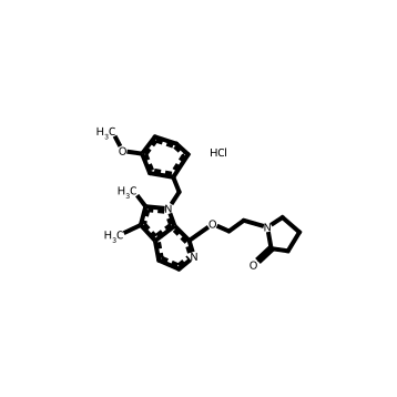 COc1cccc(Cn2c(C)c(C)c3ccnc(OCCN4CCCC4=O)c32)c1.Cl